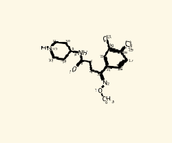 CO/N=C(\CCC(=O)NC1CCNCC1)c1ccc(Cl)c(Cl)c1